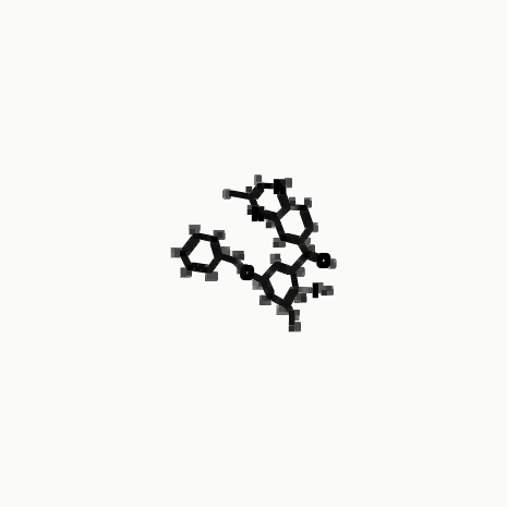 Cc1cnc2ccc(C(=O)c3cc(OCc4ccccc4)cc(F)c3F)cc2n1